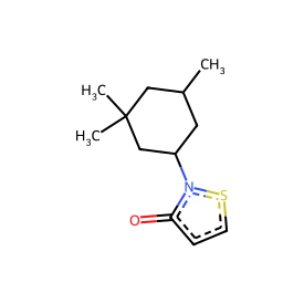 CC1CC(n2sccc2=O)CC(C)(C)C1